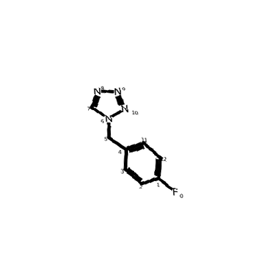 Fc1ccc(Cn2cnnn2)cc1